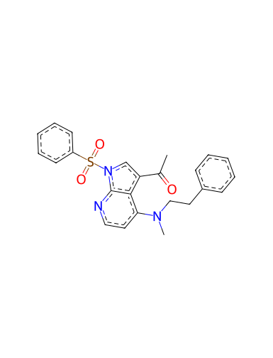 CC(=O)c1cn(S(=O)(=O)c2ccccc2)c2nccc(N(C)CCc3ccccc3)c12